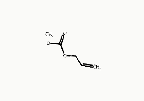 C.C=CCOC([O])=O